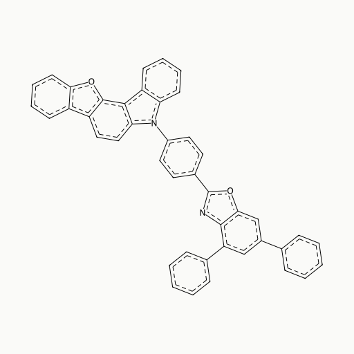 c1ccc(-c2cc(-c3ccccc3)c3nc(-c4ccc(-n5c6ccccc6c6c7oc8ccccc8c7ccc65)cc4)oc3c2)cc1